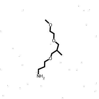 COCCOCC(C)COCCCN